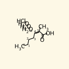 CCCC/C=C(/C)C(=O)O.Cl.O.O.O